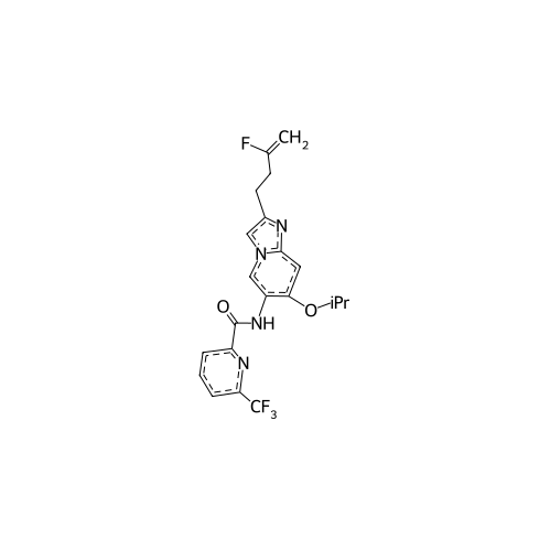 C=C(F)CCc1cn2cc(NC(=O)c3cccc(C(F)(F)F)n3)c(OC(C)C)cc2n1